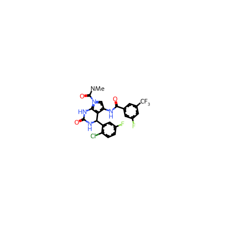 CNC(=O)n1cc(NC(=O)c2cc(F)cc(C(F)(F)F)c2)c2c1NC(=O)NC2c1cc(F)ccc1Cl